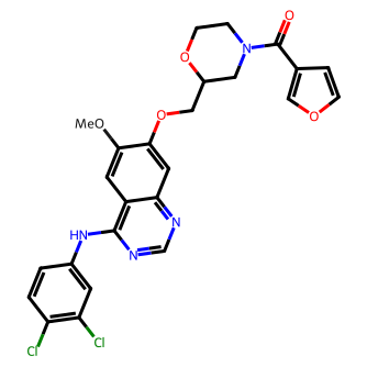 COc1cc2c(Nc3ccc(Cl)c(Cl)c3)ncnc2cc1OCC1CN(C(=O)c2ccoc2)CCO1